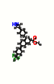 CCOC(=O)c1cc(-c2ccc(C3CNC3)cc2)c2ccc(-c3ccc(C(F)(F)F)cc3)cc2c1